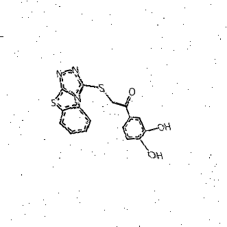 O=C(CSc1nnc2sc3ccccc3n12)c1ccc(O)c(O)c1